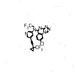 FC(F)(F)CN(c1cncc(C#CC2(C(F)(F)F)CC2)c1)c1nc2nncn2c2cc(Cl)ccc12